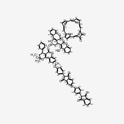 COC1(C)CC(c2ccccc2)c2c(c3ccccc3oc2=O)O1.COCC(c1c(O)c2ccccc2oc1=O)c1c(O)c2ccccc2oc1=O.COc1ccc(C2C(=O)c3ccccc3C2=O)cc1.O=C1C(=O)c2cc3ccc(cc4nc(cc5ccc(cc1n2)[nH]5)C=C4)[nH]3.O=C1c2ccccc2C(=O)C1c1ccc(Br)cc1